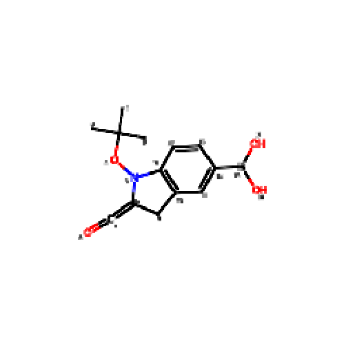 CC(C)(C)ON1C(=C=O)Cc2cc(B(O)O)ccc21